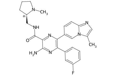 Cc1cnc2ccc(-c3nc(C(=O)NC[C@H]4CCCN4C)c(N)nc3-c3cccc(F)c3)cn12